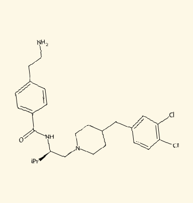 CC(C)[C@H](CN1CCC(Cc2ccc(Cl)c(Cl)c2)CC1)NC(=O)c1ccc(CCN)cc1